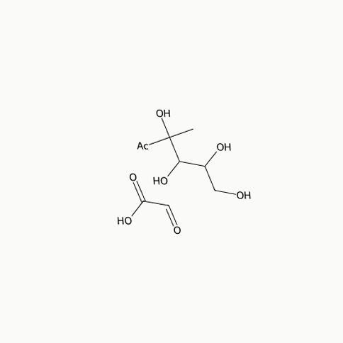 CC(=O)C(C)(O)C(O)C(O)CO.O=CC(=O)O